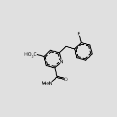 CNC(=O)c1cc(C(=O)O)cc(Cc2ccccc2F)n1